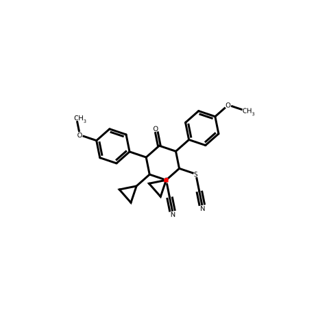 COc1ccc(C(C(=O)C(c2ccc(OC)cc2)C(SC#N)C2CC2)C(SC#N)C2CC2)cc1